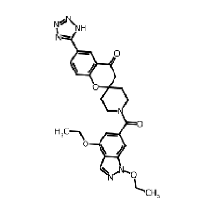 CCOc1cc(C(=O)N2CCC3(CC2)CC(=O)c2cc(-c4nnn[nH]4)ccc2O3)cc2c1cnn2OCC